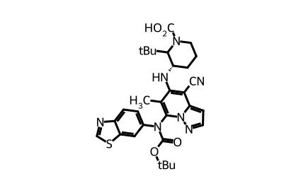 Cc1c(N[C@H]2CCCN(C(=O)O)C2C(C)(C)C)c(C#N)c2ccnn2c1N(C(=O)OC(C)(C)C)c1ccc2ncsc2c1